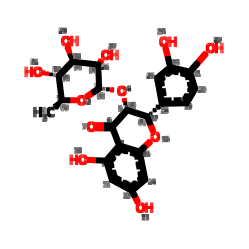 C[C@@H]1O[C@@H](O[C@H]2C(=O)c3c(O)cc(O)cc3O[C@H]2c2ccc(O)c(O)c2)[C@H](O)[C@H](O)[C@H]1O